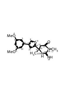 COc1cc(OC)cc(-c2csc([C@]3(C)CC(=O)N(C)C(=N)N3)c2)c1